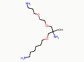 CCCCCCCCC(N)(COCCCCCCN)COCCOCCCN